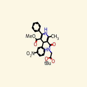 COC(=O)C1=C(c2ccccc2)NC(C)=C(C(=O)NCC(=O)OC(C)(C)C)C1c1cccc([N+](=O)[O-])c1